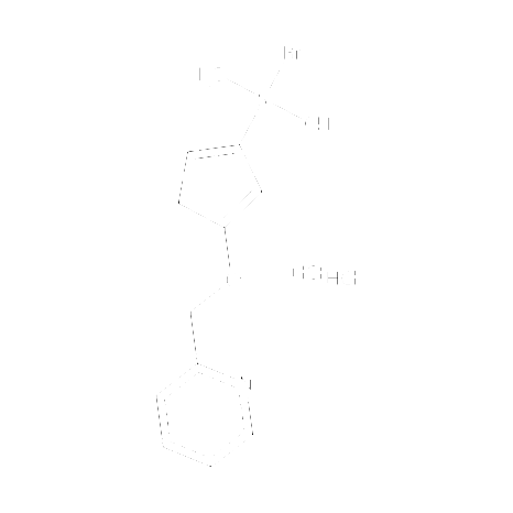 C[Si](C)(Br)C1=CC[C]([Cr][CH2]c2ccccn2)=C1.Cl.Cl